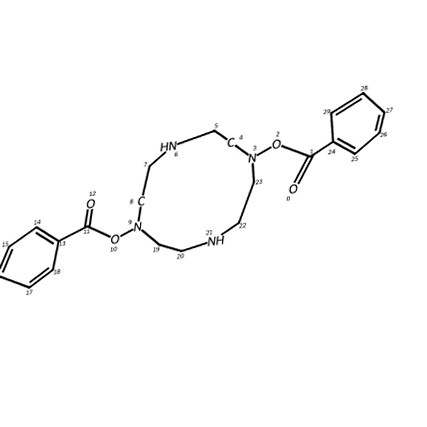 O=C(ON1CCNCCN(OC(=O)c2ccccc2)CCNCC1)c1ccccc1